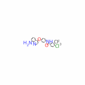 Nc1cccc2c(Oc3ccc(NC(=O)c4ccc(Cl)c(C(F)(F)F)c4)cc3)ccnc12